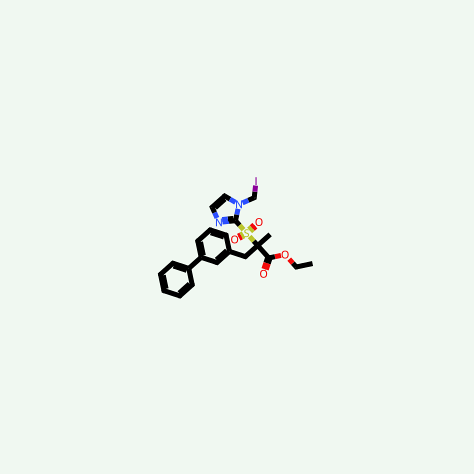 CCOC(=O)C(C)(Cc1cccc(-c2ccccc2)c1)S(=O)(=O)c1nccn1CI